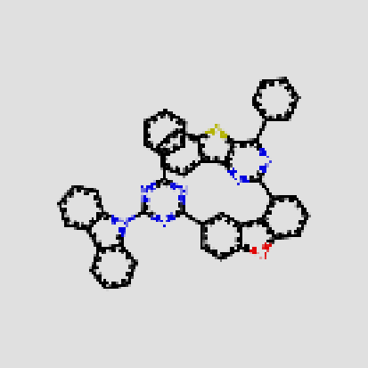 c1ccc(-c2nc(-c3ccc4oc5cccc(-c6nc(-c7ccccc7)c7sc8ccccc8c7n6)c5c4c3)nc(-n3c4ccccc4c4ccccc43)n2)cc1